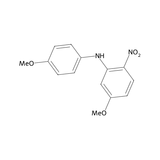 COc1ccc(Nc2cc(OC)ccc2[N+](=O)[O-])cc1